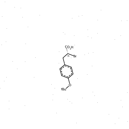 CC(C)(C)Oc1ccc(C[C@@H](Br)C(=O)O)cc1